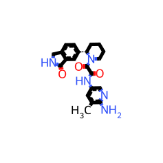 Cc1cc(NC(=O)C(=O)N2CCCC[C@H]2c2ccc3c(c2)C(=O)NC3)cnc1N